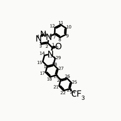 O=C(c1cnnn1-c1ccccc1)N1CCc2ccc(-c3ccc(C(F)(F)F)cc3)cc2C1